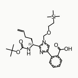 C=CCC[C@H](NC(=O)OC(C)(C)C)c1nc(-c2ccccc2C(=O)O)cn1COCC[Si](C)(C)C